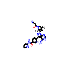 N#CCC(=O)N1C[C@@H]2C[C@@H]1[C@H](n1nc(-c3ccc(C(=O)Nc4ccccn4)cc3)c3c(N)ncnc31)C2